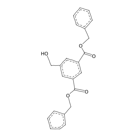 O=C(OCc1ccccc1)c1cc(CO)cc(C(=O)OCc2ccccc2)c1